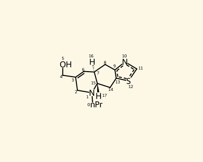 CCCN1CC(CO)=C[C@H]2Cc3ncsc3C[C@@H]21